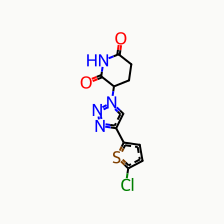 O=C1CCC(n2cc(-c3ccc(Cl)s3)nn2)C(=O)N1